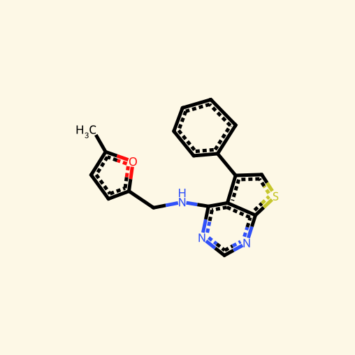 Cc1ccc(CNc2ncnc3scc(-c4ccccc4)c23)o1